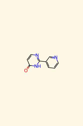 O=c1ccnc(-c2cccnc2)[nH]1